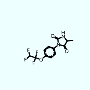 CC1NC(=O)N(c2ccc(OC(F)(F)C(F)F)cc2)C1=O